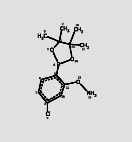 CC1(C)OB(c2ccc(Cl)cc2ON)OC1(C)C